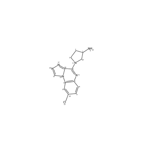 NC1CCN(c2nc3ccc(Cl)cc3n3cnnc23)C1